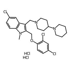 Cl.Cl.Cn1c(COc2ccc(Cl)cc2Cl)c(CN2CCC(N3CCCCC3)CC2)c2cc(Cl)ccc21